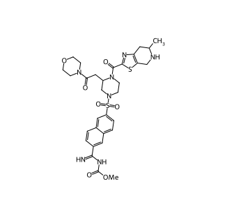 COC(=O)NC(=N)c1ccc2cc(S(=O)(=O)N3CCN(C(=O)c4nc5c(s4)CNC(C)C5)C(CC(=O)N4CCOCC4)C3)ccc2c1